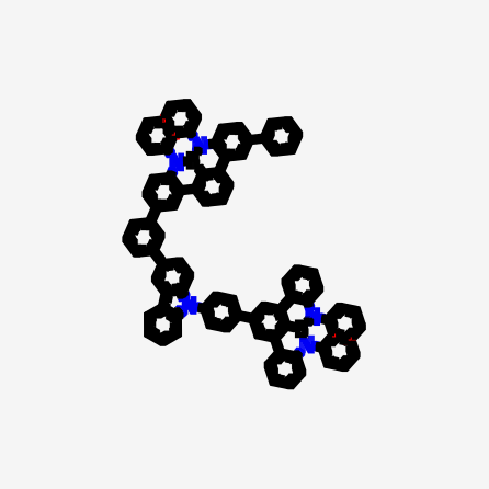 c1ccc(-c2ccc3c(c2)-c2cccc4c2B(N3c2ccccc2)N(c2ccccc2)c2ccc(-c3cccc(-c5ccc6c(c5)c5ccccc5n6-c5ccc(-c6cc7c8c(c6)-c6ccccc6N(c6ccccc6)B8N(c6ccccc6)c6ccccc6-7)cc5)c3)cc2-4)cc1